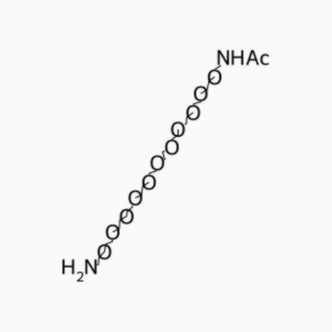 CC(=O)NCCOCCOCCOCCOCCOCCOCCOCCOCCOCCOCCOCCN